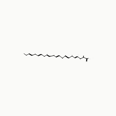 CC/C=C/C/C=C/C/C=C/C/C=C/C/C=C/C/C=C/CC(I)C(=O)O